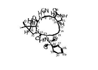 CC1(C)[C@@H]2[C@H]3C(=O)N[C@H](C#N)C[C@@H]4C(=O)NC[C@@H]4CCCC[C@H](NS(=O)(=O)c4ccccc4)C(=O)N3C[C@@H]21